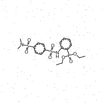 CCOP(=O)(OCC)c1ccccc1NS(=O)(=O)c1ccc(S(=O)(=O)N(C)C)cc1